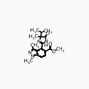 COC(=O)c1ccc2c(c(C)nn2C)c1C1=NC(C)(C(C)C)C(=O)N1